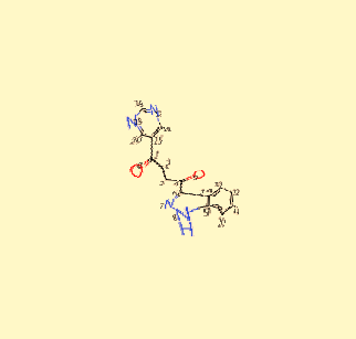 O=C(CCC(=O)c1n[nH]c2ccccc12)c1cncnc1